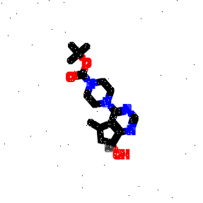 CC1C[C@@H](O)c2ncnc(N3CCN(C(=O)OC(C)(C)C)CC3)c21